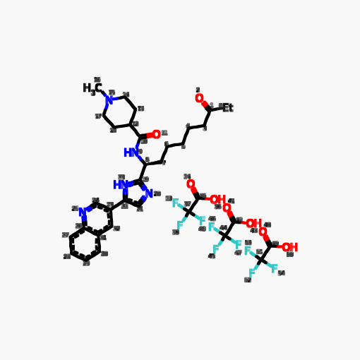 CCC(=O)CCCCC[C@H](NC(=O)C1CCN(C)CC1)c1ncc(-c2cnc3ccccc3c2)[nH]1.O=C(O)C(F)(F)F.O=C(O)C(F)(F)F.O=C(O)C(F)(F)F